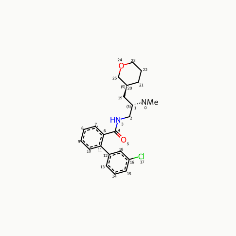 CN[C@H](CNC(=O)c1[c]cccc1-c1cccc(Cl)c1)C[C@@H]1CCCOC1